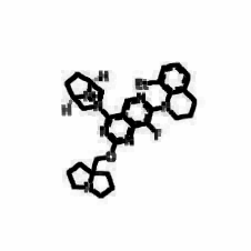 CCc1cccc2c1N(c1ncc3c(N4C[C@H]5CC[C@@H](C4)N5)nc(OCC45CCCN4CCC5)nc3c1F)CCC2